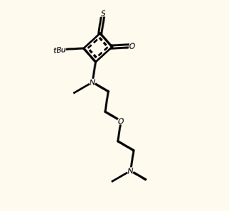 CN(C)CCOCCN(C)c1c(C(C)(C)C)c(=S)c1=O